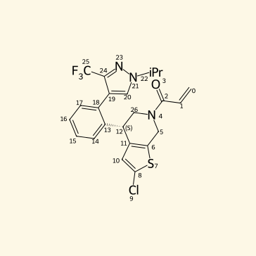 C=CC(=O)N1Cc2sc(Cl)cc2[C@H](c2ccccc2-c2cn(C(C)C)nc2C(F)(F)F)C1